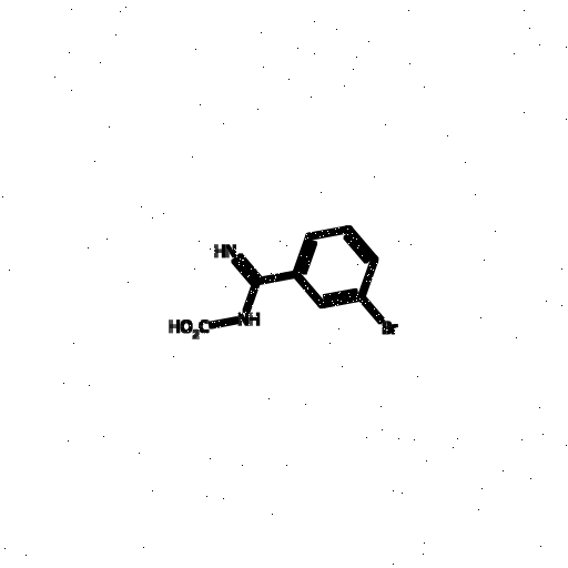 N=C(NC(=O)O)c1cccc(Br)c1